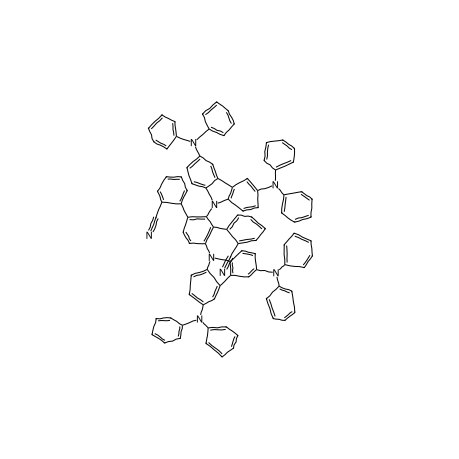 N#Cc1ccccc1-c1ccc(-n2c3ccc(N(c4ccccc4)c4ccccc4)cc3c3cc(N(c4ccccc4)c4ccccc4)ccc32)c(-c2ccccc2C#N)c1-n1c2ccc(N(c3ccccc3)c3ccccc3)cc2c2cc(N(c3ccccc3)c3ccccc3)ccc21